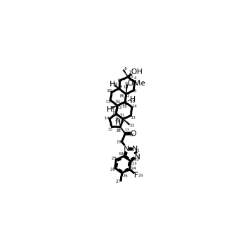 COC[C@]12CC[C@@](C)(O)C[C@H]1CC[C@H]1[C@@H]3CC[C@H](C(=O)Cn4nnc5c(F)c(C)ccc54)[C@@]3(C)CC[C@@H]12